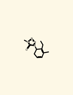 CCC1=C(C)C=CCC1n1nnn(C)c1=O